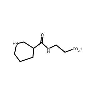 O=C(O)CCNC(=O)C1CCCNC1